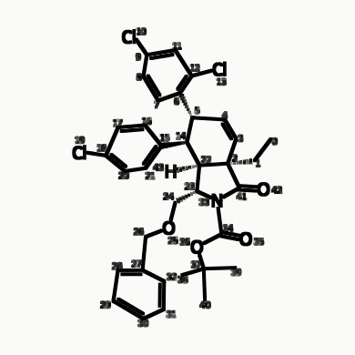 CC[C@@]12C=C[C@@H](c3ccc(Cl)cc3Cl)[C@H](c3ccc(Cl)cc3)[C@@H]1[C@@H](COCc1ccccc1)N(C(=O)OC(C)(C)C)C2=O